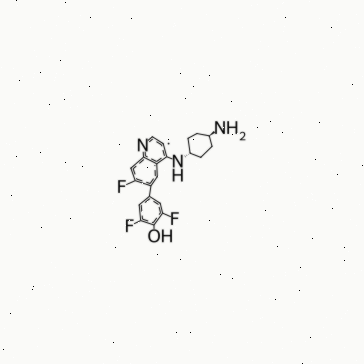 N[C@H]1CC[C@H](Nc2[c]cnc3cc(F)c(-c4cc(F)c(O)c(F)c4)cc23)CC1